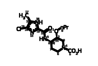 CCCO[C@H]1CN(C(=O)O)CC[C@H]1NC(=O)c1nc(Cl)c(C)[nH]1